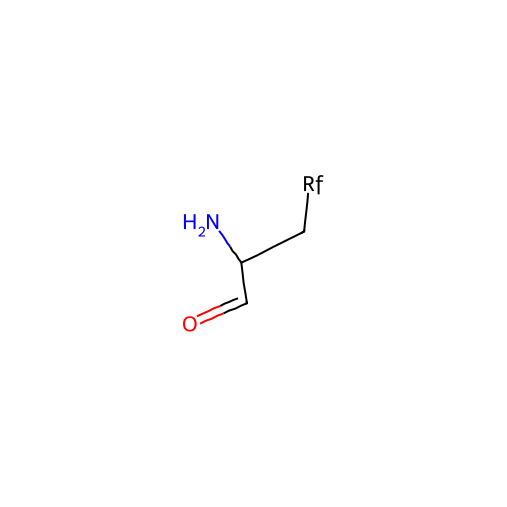 NC(C=O)[CH2][Rf]